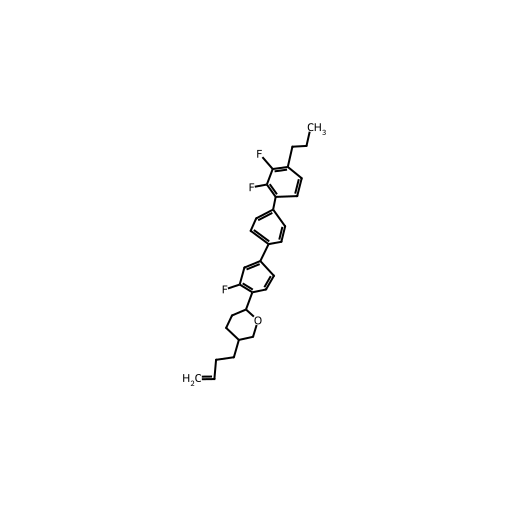 C=CCCC1CCC(c2ccc(-c3ccc(-c4ccc(CCC)c(F)c4F)cc3)cc2F)OC1